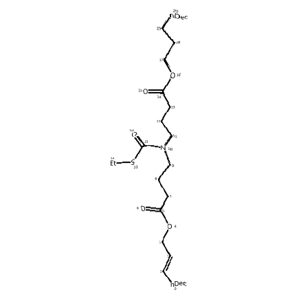 CCCCCCCCCC/C=C/COC(=O)CCCN(CCCC(=O)OCCCCCCCCCCCCC)C(=O)SCC